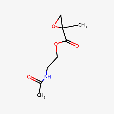 CC(=O)NCCOC(=O)C1(C)CO1